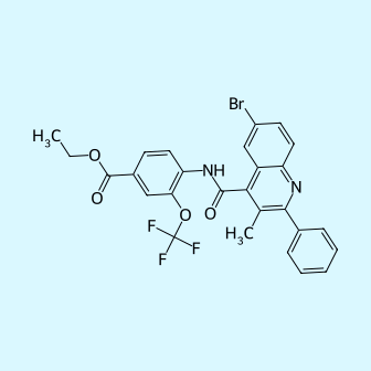 CCOC(=O)c1ccc(NC(=O)c2c(C)c(-c3ccccc3)nc3ccc(Br)cc23)c(OC(F)(F)F)c1